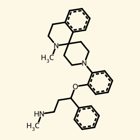 CNCCC(Oc1ccccc1N1CCC2(CC1)c1ccccc1CCN2C)c1ccccc1